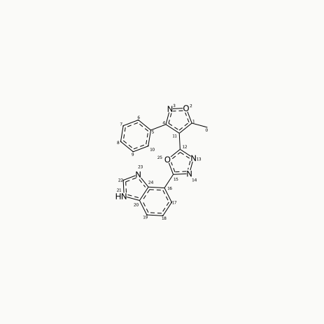 Cc1onc(-c2ccccc2)c1-c1nnc(-c2cccc3[nH]cnc23)o1